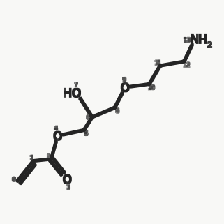 C=CC(=O)OCC(O)COCCCN